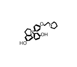 Oc1cccc([N+]2(c3ccc(OCCN4CCCCC4)cc3)CCCc3cc(O)ccc32)c1